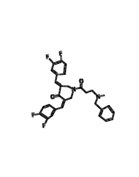 CN(CCC(=O)N1CC(=Cc2ccc(F)c(F)c2)C(=O)C(=Cc2ccc(F)c(F)c2)C1)Cc1ccccc1